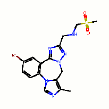 Cc1ncn2c1Cn1nc(CNCS(C)(=O)=O)nc1-c1cc(Br)ccc1-2